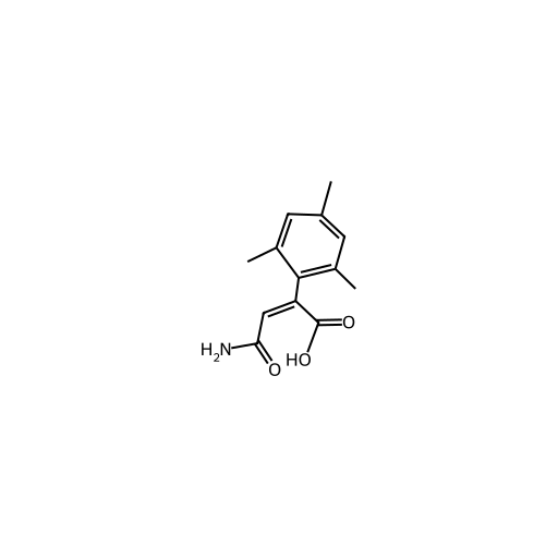 Cc1cc(C)c(C(=CC(N)=O)C(=O)O)c(C)c1